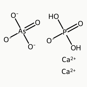 O=P([O-])(O)O.O=[As]([O-])([O-])[O-].[Ca+2].[Ca+2]